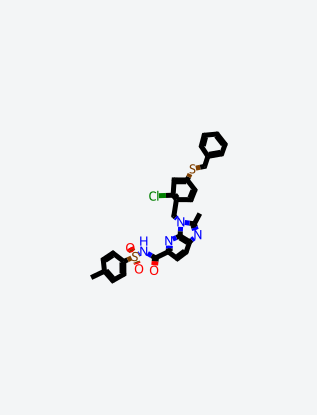 Cc1ccc(S(=O)(=O)NC(=O)c2ccc3nc(C)n(Cc4ccc(SCc5ccccc5)cc4Cl)c3n2)cc1